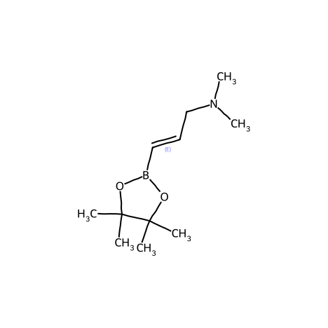 CN(C)C/C=C/B1OC(C)(C)C(C)(C)O1